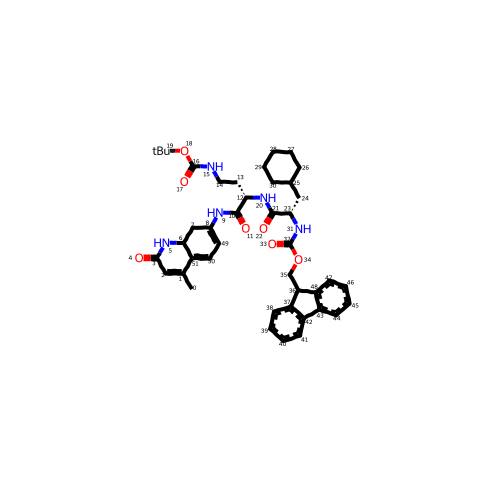 CC1=CC(=O)NC2CC(NC(=O)[C@H](CCNC(=O)OC(C)(C)C)NC(=O)[C@H](CC3CCCCC3)NC(=O)OCC3c4ccccc4-c4ccccc43)=CC=C12